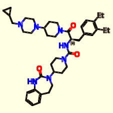 CCc1ccc(C[C@@H](NC(=O)N2CCC(N3CCc4ccccc4NC3=O)CC2)C(=O)N2CCC(N3CCN(CC4CC4)CC3)CC2)cc1CC